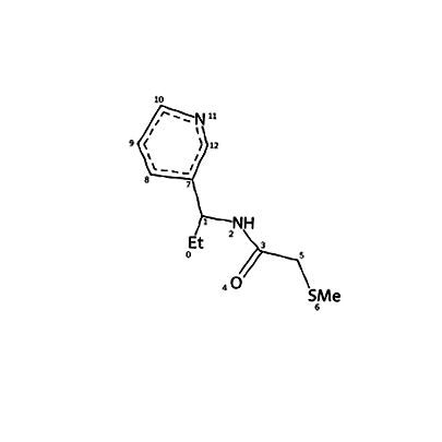 CCC(NC(=O)CSC)c1cccnc1